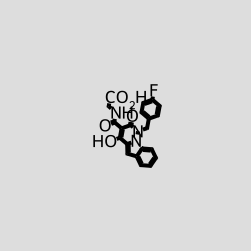 O=C(O)CNC(=O)c1c(O)c2cc3ccccc3n2n(Cc2ccc(F)cc2)c1=O